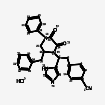 Cl.N#Cc1ccc(C[C@@H](c2cnc[nH]2)N2C(=O)C(=O)N(c3ccccc3)CC2Cc2ccccc2)cc1